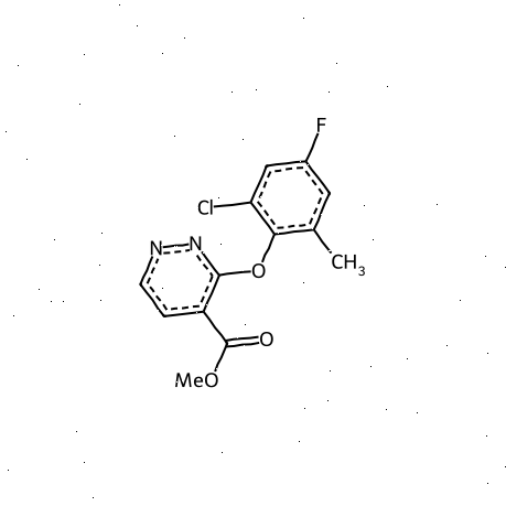 COC(=O)c1ccnnc1Oc1c(C)cc(F)cc1Cl